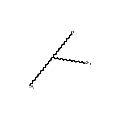 CCCCCCCCCCCCCCCCCCC(CCCCCCCCCCCCCCC)CCCCCCCCCCCCCCCC